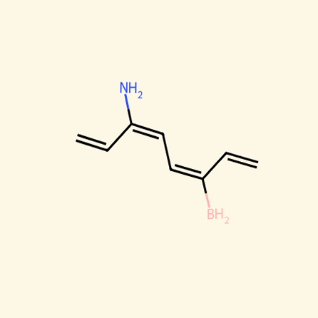 B/C(C=C)=C/C=C(/N)C=C